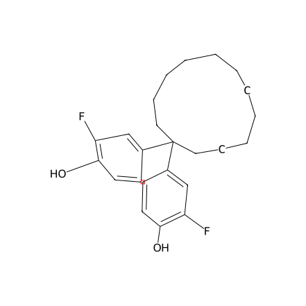 Oc1ccc(C2(c3ccc(O)c(F)c3)CCCCCCCCCCC2)cc1F